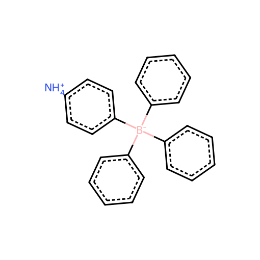 [NH4+].c1ccc([B-](c2ccccc2)(c2ccccc2)c2ccccc2)cc1